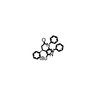 CC(C)(C)c1nn(-c2ccccc2)c2c1[C@@H](c1ccccc1)CC(=O)N2c1ccccc1